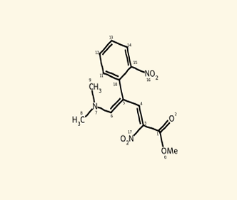 COC(=O)/C(=C/C(=C/N(C)C)c1ccccc1[N+](=O)[O-])[N+](=O)[O-]